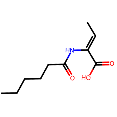 CC=C(NC(=O)CCCCC)C(=O)O